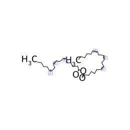 CCCCC/C=C\C/C=C\C/C=C\CCCCC(=O)OC(=O)CCCC/C=C\C/C=C\C/C=C\CCCCC